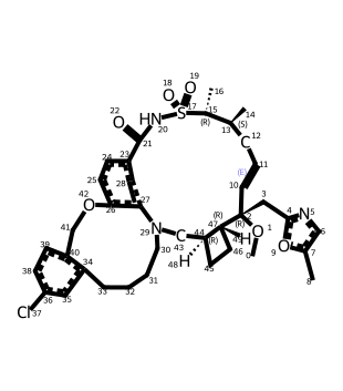 CO[C@@]1(Cc2ncc(C)o2)/C=C/C[C@H](C)[C@@H](C)S(=O)(=O)NC(=O)c2ccc3c(c2)N(CCCCc2cc(Cl)ccc2CO3)C[C@@H]2CC[C@H]21